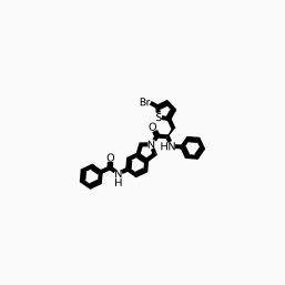 O=C(Nc1ccc2c(c1)CN(C(=O)[C@@H](Cc1ccc(Br)s1)Nc1ccccc1)C2)c1ccccc1